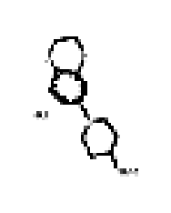 CNC1CCN(c2ccc3c(c2)NCCO3)CC1.Cl